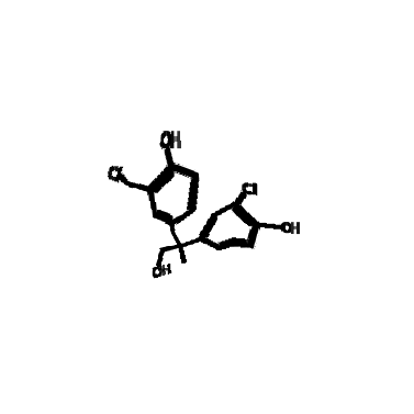 CC(CO)(c1ccc(O)c(Cl)c1)c1ccc(O)c(Cl)c1